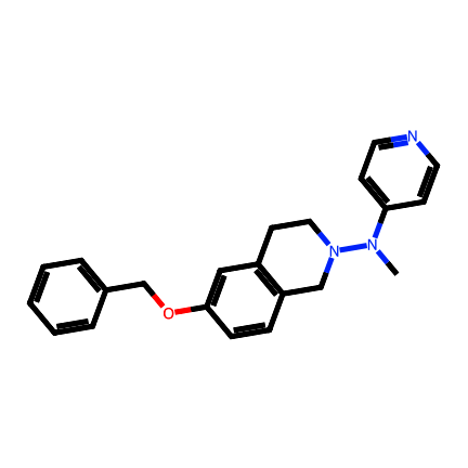 CN(c1ccncc1)N1CCc2cc(OCc3ccccc3)ccc2C1